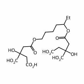 CCC(CCCCOC(=O)CC(O)(CC(=O)O)C(=O)O)OC(=O)CC(O)(CC(=O)O)C(=O)O